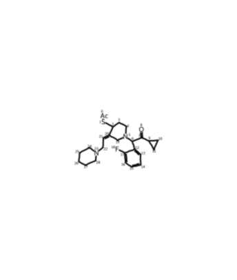 CC(=O)SC1CCN(C(C(=O)C2CC2)c2ccccc2F)C/C1=C\CN1CCCCC1